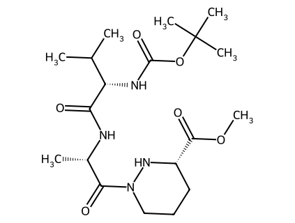 COC(=O)[C@@H]1CCCN(C(=O)[C@H](C)NC(=O)[C@@H](NC(=O)OC(C)(C)C)C(C)C)N1